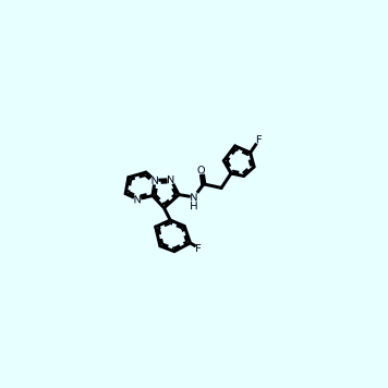 O=C(Cc1ccc(F)cc1)Nc1nn2cccnc2c1-c1cccc(F)c1